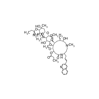 CCC(=O)O[C@@H]1C(C)O[C@@H](O[C@@H]2C(C)O[C@@H](O[C@H]3[C@@H](CC=O)C[C@@H](C)[C@@H](O)CN(C)CCC(C/C=C/c4cnc5ccccc5c4)NC(=O)C[C@@H](OC(=O)CC)[C@@H]3OC)C(O)C2N(C)C)CC1(C)O